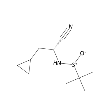 CC(C)(C)[S+]([O-])N[C@@H](C#N)CC1CC1